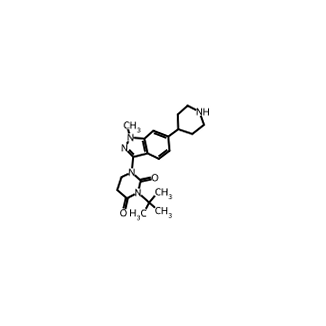 Cn1nc(N2CCC(=O)N(C(C)(C)C)C2=O)c2ccc(C3CCNCC3)cc21